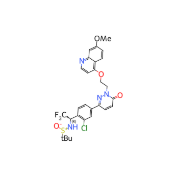 COc1ccc2c(OCCn3nc(-c4ccc([C@@H](N[S+]([O-])C(C)(C)C)C(F)(F)F)c(Cl)c4)ccc3=O)ccnc2c1